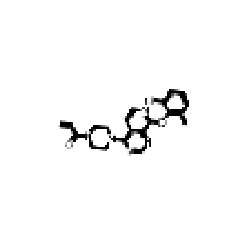 C=CC(=O)N1CCN(c2ncnc3c(Oc4c(C)cccc4Cl)nccc23)CC1